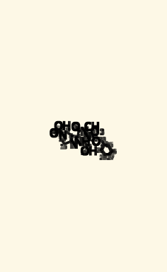 CN(C(=O)c1[nH]nc2c1CN(C(=O)O)CC2)N(CCO)C(=O)OCc1ccccc1